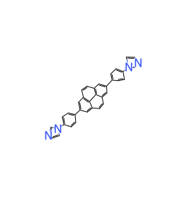 c1cn(-c2ccc(-c3cc4ccc5cc(-c6ccc(-n7ccnc7)cc6)cc6ccc(c3)c4c56)cc2)cn1